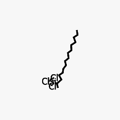 CCCCCCCCCCCCCCC(C)[Si](Cl)(Cl)Cl